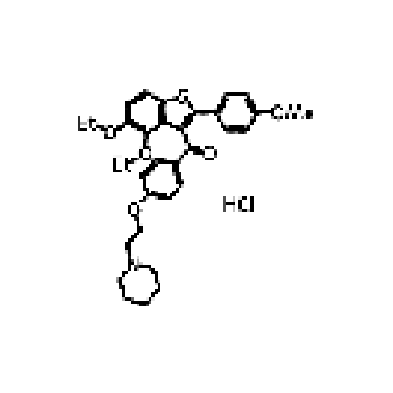 CCOc1ccc2sc(-c3ccc(OC)cc3)c(C(=O)c3ccc(OCCN4CCCCC4)cc3)c2c1OCC.Cl